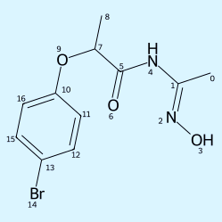 CC(=NO)NC(=O)C(C)Oc1ccc(Br)cc1